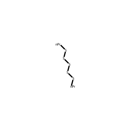 CCCSSSSSCCC